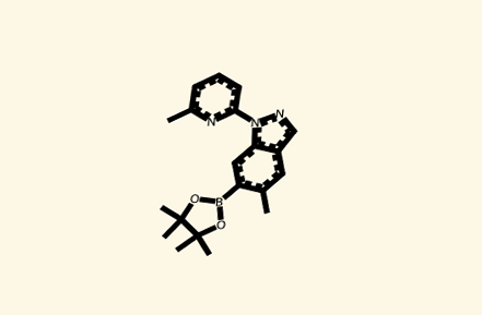 Cc1cccc(-n2ncc3cc(C)c(B4OC(C)(C)C(C)(C)O4)cc32)n1